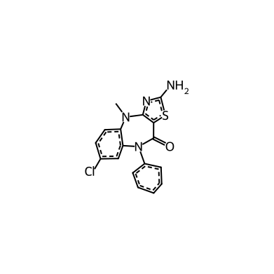 CN1c2ccc(Cl)cc2N(c2ccccc2)C(=O)c2sc(N)nc21